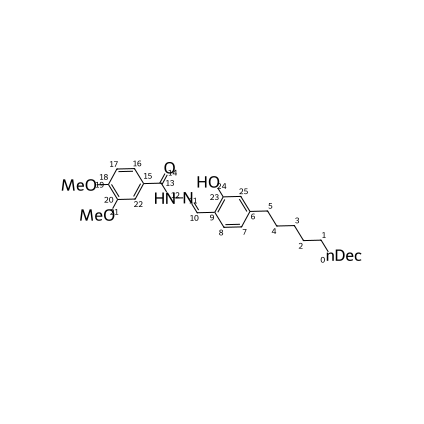 CCCCCCCCCCCCCCCc1ccc(C=NNC(=O)c2ccc(OC)c(OC)c2)c(O)c1